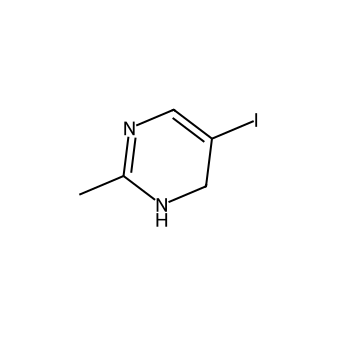 CC1=NC=C(I)CN1